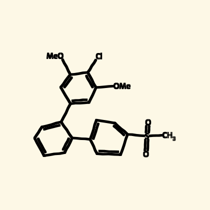 COc1cc(-c2ccccc2-c2ccc(S(C)(=O)=O)cc2)cc(OC)c1Cl